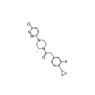 C[C@@H]1CN(c2ccc(Cl)nn2)CCN1C(=O)Cc1ccc(C2CC2)c(F)c1